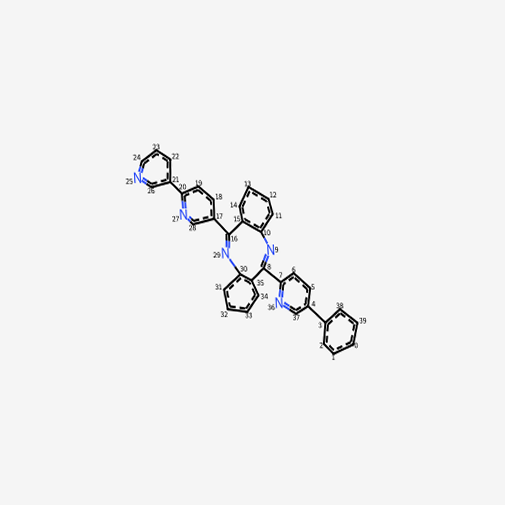 c1ccc(-c2ccc(/C3=N/c4ccccc4/C(c4ccc(-c5cccnc5)nc4)=N\c4ccccc43)nc2)cc1